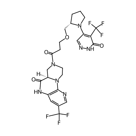 O=C1Nc2cc(C(F)(F)F)cnc2N2CCN(C(=O)CCOC[C@@H]3CCCN3c3cn[nH]c(=O)c3C(F)(F)F)C[C@H]12